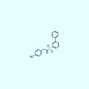 N#Cc1ccc(CNS(=O)(=O)c2cccc(-c3ccccc3)c2)cc1